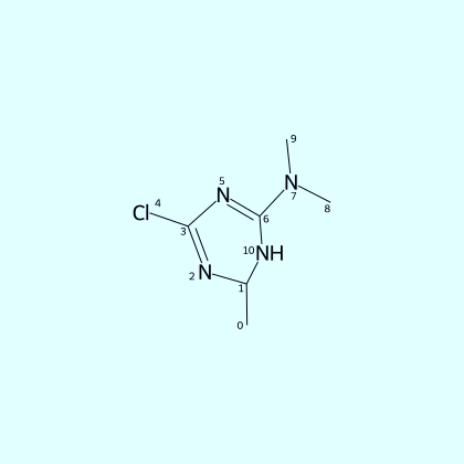 CC1N=C(Cl)N=C(N(C)C)N1